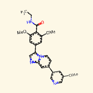 COc1cncc(-c2ccn3c(-c4cc(OC)c(C(=O)NCC(F)(F)F)c(OC)c4)cnc3c2)c1